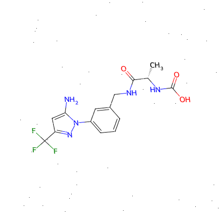 C[C@H](NC(=O)O)C(=O)NCc1cccc(-n2nc(C(F)(F)F)cc2N)c1